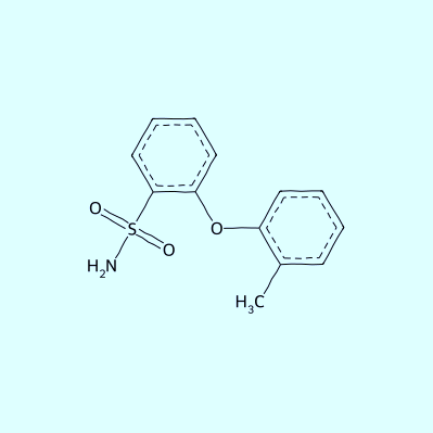 Cc1ccccc1Oc1ccccc1S(N)(=O)=O